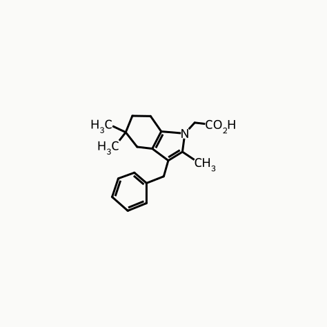 Cc1c(Cc2ccccc2)c2c(n1CC(=O)O)CCC(C)(C)C2